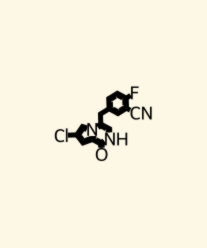 N#Cc1cc(Cc2c[nH]c(=O)c3cc(Cl)cn23)ccc1F